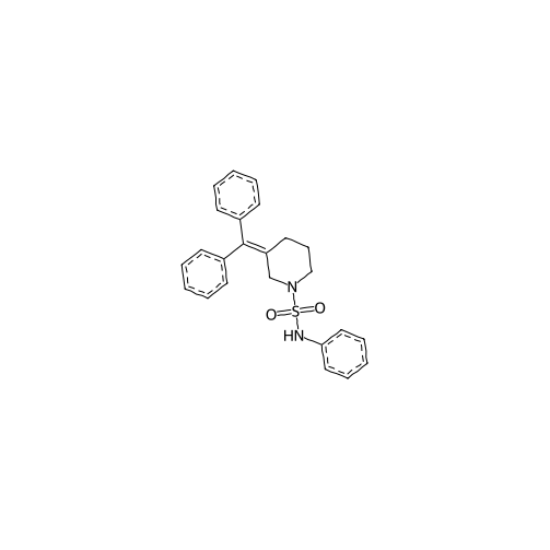 O=S(=O)(Nc1ccccc1)N1CCCC(=C(c2ccccc2)c2ccccc2)C1